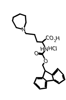 Cl.O=C(NC(CCCN1CCCCCC1)C(=O)O)OCC1c2ccccc2-c2ccccc21